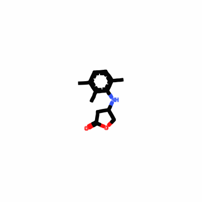 Cc1ccc(C)c(NC2COC(=O)C2)c1C